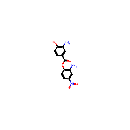 Nc1cc(C(=O)Oc2ccc([N+](=O)[O-])cc2N)ccc1O